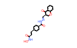 O=C(/C=C/c1ccc(C(=O)N/N=C/c2coc3ccccc3c2=O)cc1)NO